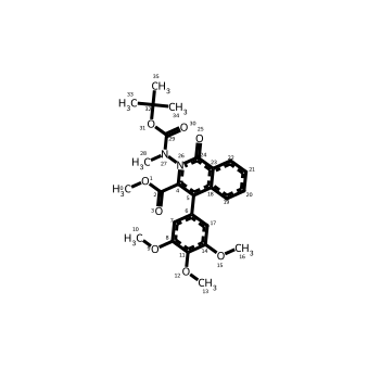 COC(=O)c1c(-c2cc(OC)c(OC)c(OC)c2)c2ccccc2c(=O)n1N(C)C(=O)OC(C)(C)C